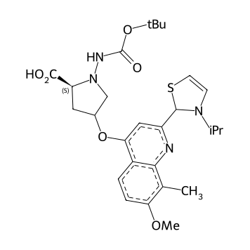 COc1ccc2c(OC3C[C@@H](C(=O)O)N(NC(=O)OC(C)(C)C)C3)cc(C3SC=CN3C(C)C)nc2c1C